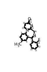 Cc1ccc2c(c1)C(c1ccccc1F)=NCc1nc(=O)ccn1-2